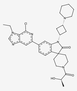 CCn1cnc2cc(-c3ccc4c(c3)N([C@H]3C[C@@H](N5CCCCC5)C3)C(=O)C43CCN(C(=O)[C@@H](C)O)CC3)nc(Cl)c21